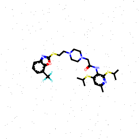 Cc1cc(SC(C)C)c(NC(=O)CN2CCN(CCSc3nc4cccc(C(F)(F)F)c4o3)CC2)c(SC(C)C)n1